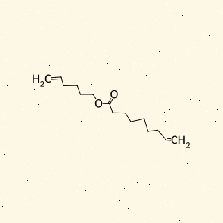 C=CCCCCCCC(=O)OCCCCC=C